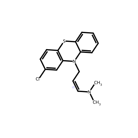 CN(C)/C=C\CN1c2ccccc2Sc2ccc(Cl)cc21